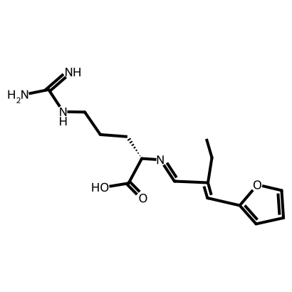 CCC(/C=N/[C@@H](CCCNC(=N)N)C(=O)O)=C\c1ccco1